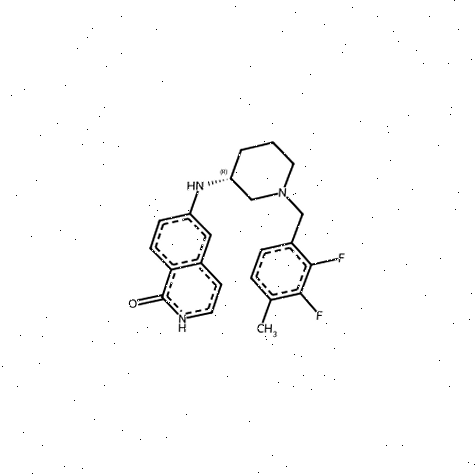 Cc1ccc(CN2CCC[C@@H](Nc3ccc4c(=O)[nH]ccc4c3)C2)c(F)c1F